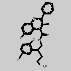 Cc1c(-c2ccccc2)nc2ccc(Br)cc2c1C(=O)NCC(CCC(=O)O)c1cc(F)ccc1Cl